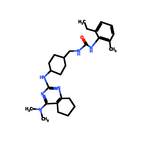 CCc1cccc(C)c1NC(=O)NCC1CCC(Nc2nc3c(c(N(C)C)n2)CCCC3)CC1